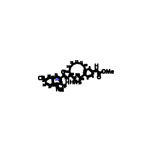 COC(=O)Nc1ccc2c(c1)CCCCCC[C@H](NC(=O)/C=C/c1cc(Cl)ccc1-n1cnnn1)c1nc-2c[nH]1